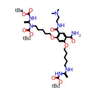 C=C(NCCCCCOc1cc(OCCCCCN(C(=C)NC(=O)OC(C)(C)C)C(=O)OC(C)(C)C)c(C(=O)NCCN(C)C)cc1C(N)=O)NC(=O)OC(C)(C)C